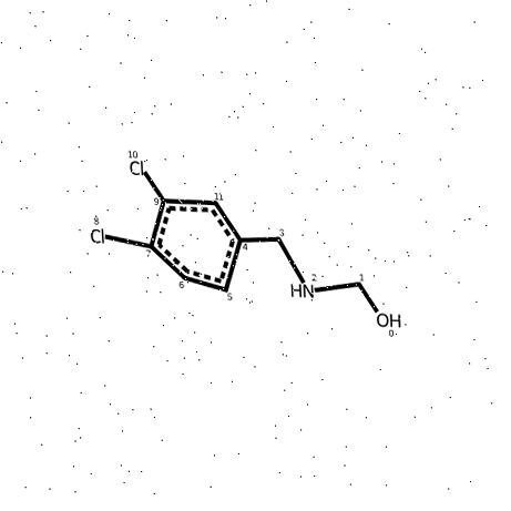 OCNCc1ccc(Cl)c(Cl)c1